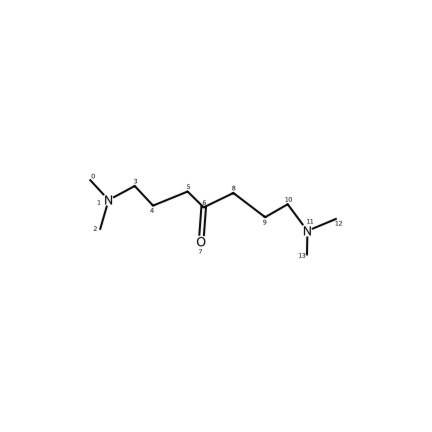 CN(C)CCCC(=O)CCCN(C)C